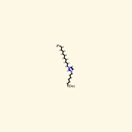 CCCCCCCCCCCCCCCCn1cc[n+](CCCCCCCCCCC(C)C)c1